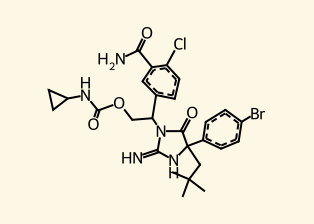 CC(C)(C)CC1(c2ccc(Br)cc2)NC(=N)N(C(COC(=O)NC2CC2)c2ccc(Cl)c(C(N)=O)c2)C1=O